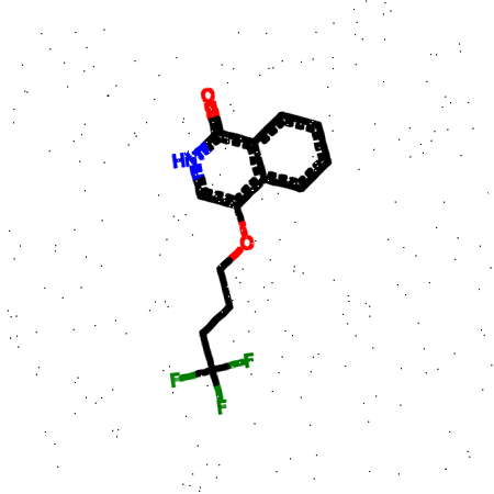 O=c1[nH]cc(OCCCC(F)(F)F)c2ccccc12